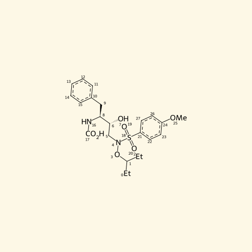 CCC(CC)ON(C[C@@H](O)[C@H](Cc1ccccc1)NC(=O)O)S(=O)(=O)c1ccc(OC)cc1